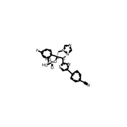 C[C@@H](c1nc(-c2ccc(C#N)cc2)cs1)[C@@](Cn1cncn1)(OP(=O)(O)O)c1ccc(F)cc1F